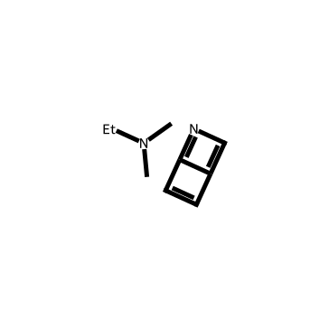 CCN(C)C.c1cc2ncc1-2